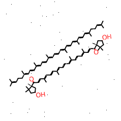 CC(/C=C/C=C(C)/C=C/C(=O)[C@]1(C)C[C@@H](O)CC1(C)C)=C\C=C\C=C(C)\C=C\C=C(C)\C=C\C(=O)[C@]1(C)C[C@@H](O)CC1(C)C.CC(C)=CCC/C(C)=C/C=C/C(C)=C/C=C/C(C)=C/C=C/C=C(C)/C=C/C=C(C)/C=C/C=C(\C)CCC=C(C)C